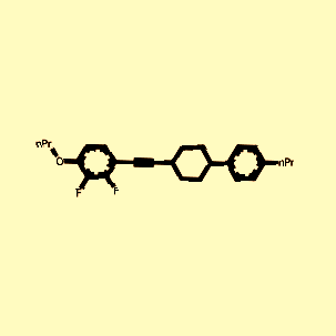 CCCOc1ccc(C#CC2CCC(c3ccc(CCC)cc3)CC2)c(F)c1F